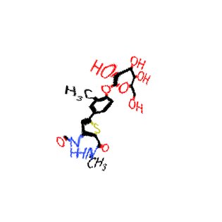 CNC(=O)c1sc(-c2ccc(OC3OC(CO)C(O)C(O)C3O)c(C)c2)cc1NC=O